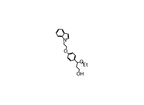 CCOC(CCO)c1ccc(OCCn2ccc3ccccc32)cc1